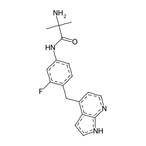 CC(C)(N)C(=O)Nc1ccc(Cc2ccnc3[nH]ccc23)c(F)c1